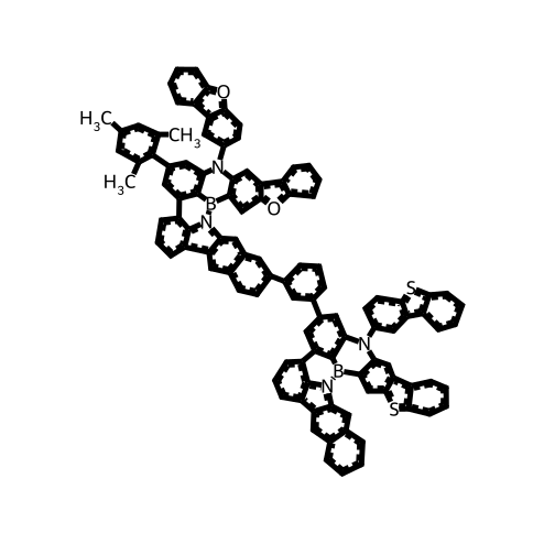 Cc1cc(C)c(-c2cc3c4c(c2)N(c2ccc5oc6ccccc6c5c2)c2cc5c(cc2B4n2c4cc6cc(-c7cccc(-c8cc9c%10c(c8)N(c8ccc%11sc%12ccccc%12c%11c8)c8cc%11c(cc8B%10n8c%10cc%12ccccc%12cc%10c%10cccc-9c%108)sc8ccccc8%11)c7)ccc6cc4c4cccc-3c42)oc2ccccc25)c(C)c1